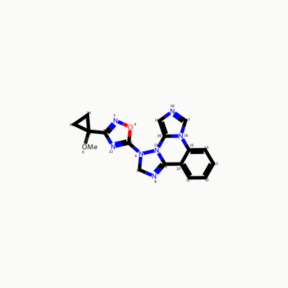 COC1(c2noc(N3CN=C4c5ccccc5-n5cncc5N43)n2)CC1